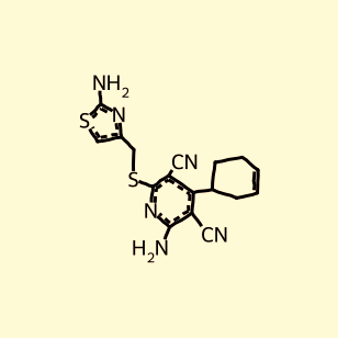 N#Cc1c(N)nc(SCc2csc(N)n2)c(C#N)c1C1CC=CCC1